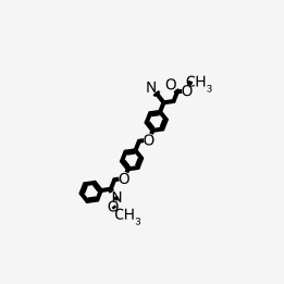 CON=C(COc1ccc(COc2ccc(C(C#N)CC(=O)OC)cc2)cc1)c1ccccc1